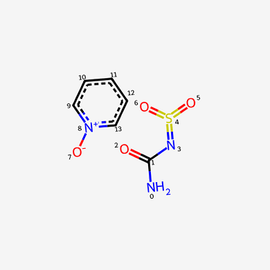 NC(=O)N=S(=O)=O.[O-][n+]1ccccc1